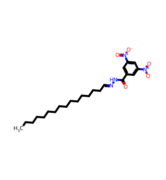 CCCCCCCCCCCCCCC/C=N/NC(=O)c1cc([N+](=O)[O-])cc([N+](=O)[O-])c1